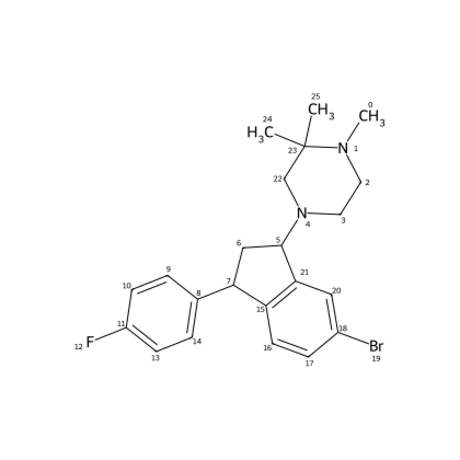 CN1CCN(C2CC(c3ccc(F)cc3)c3ccc(Br)cc32)CC1(C)C